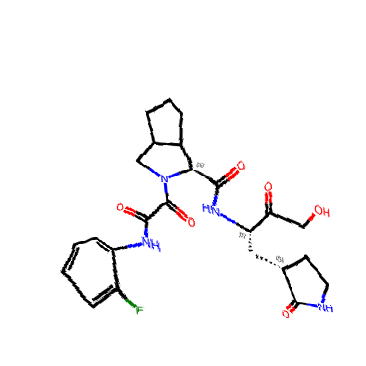 O=C(Nc1ccccc1F)C(=O)N1CC2CCCC2[C@H]1C(=O)N[C@@H](C[C@@H]1CCNC1=O)C(=O)CO